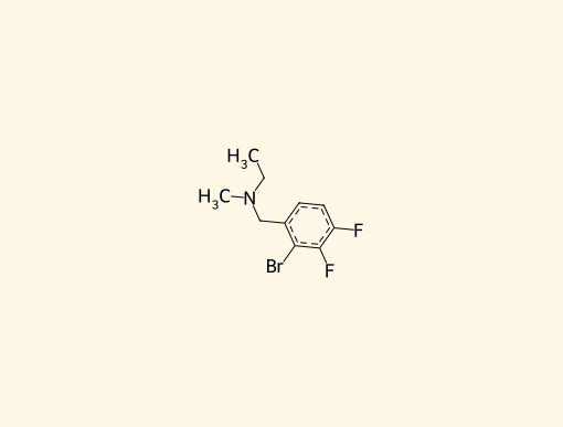 CCN(C)Cc1ccc(F)c(F)c1Br